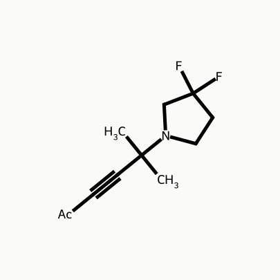 CC(=O)C#CC(C)(C)N1CCC(F)(F)C1